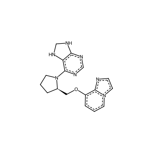 c1cc(OC[C@H]2CCCN2c2ncnc3c2NCN3)c2nccn2c1